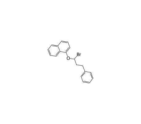 BrC(CCc1ccccc1)Oc1cccc2ccccc12